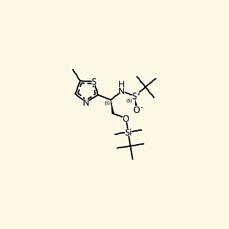 Cc1cnc([C@H](CO[Si](C)(C)C(C)(C)C)N[S@+]([O-])C(C)(C)C)s1